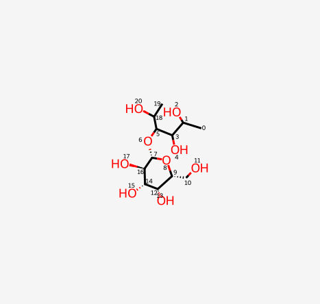 CC(O)C(O)C(O[C@@H]1O[C@H](CO)[C@H](O)[C@H](O)[C@H]1O)C(C)O